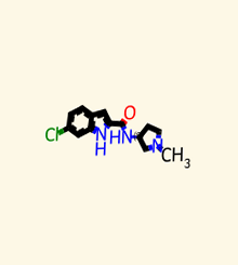 CN1CC[C@H](NC(=O)c2cc3ccc(Cl)cc3[nH]2)C1